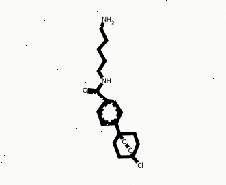 NCCCCCNC(=O)c1ccc(C23CCC(Cl)(CC2)CC3)cc1